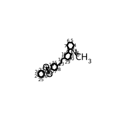 CCn1c2ccccc2c2cc(/C=C/c3ccc(S(=O)(=O)c4ccccc4)cc3)ccc21